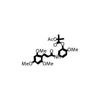 COc1cc(OC)c(C=CC(=O)Nc2ccc(OC)c(OC(=O)C(C)(C)OC(C)=O)c2)c(OC)c1